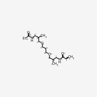 C=CC(=O)NCC(C)COCCCOCC(C)CNC(=O)CC